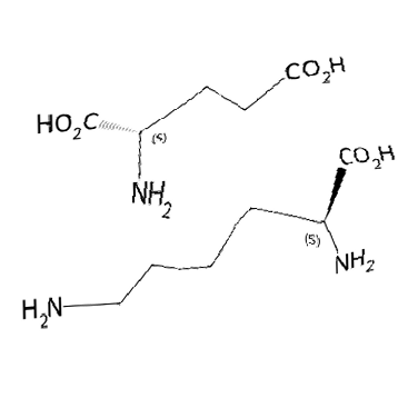 NCCCC[C@H](N)C(=O)O.N[C@@H](CCC(=O)O)C(=O)O